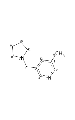 Cc1cncc(CN2CCCC2)c1